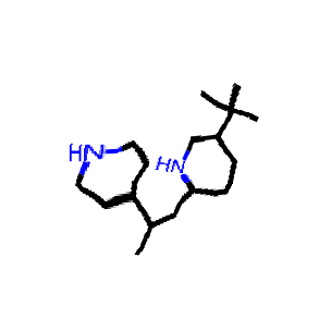 CC(CC1CCC(C(C)(C)C)CN1)C1CCNCC1